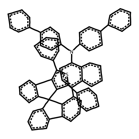 c1ccc(-c2ccc(N(c3ccc(-c4ccccc4)cc3)c3ccc(-c4cccc5c4C4(c6ccccc6-5)c5ccccc5-c5c(-c6ccccc6)sc(-c6ccccc6)c54)c4ccccc34)cc2)cc1